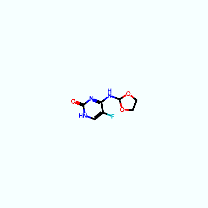 O=c1nc(NC2OCCO2)c(F)c[nH]1